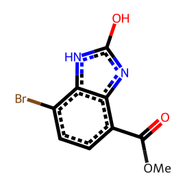 COC(=O)c1ccc(Br)c2[nH]c(O)nc12